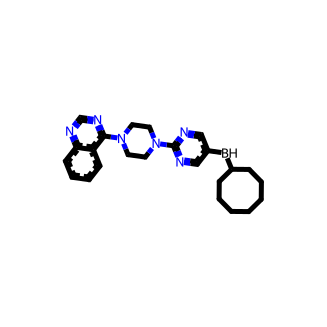 B(c1cnc(N2CCN(c3ncnc4ccccc34)CC2)nc1)C1CCCCCCC1